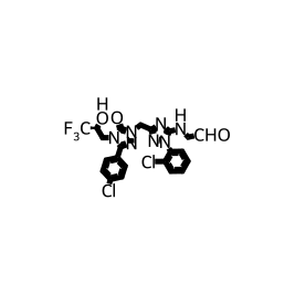 O=CCNc1nc(Cn2nc(-c3ccc(Cl)cc3)n(C[C@H](O)C(F)(F)F)c2=O)nn1-c1ccccc1Cl